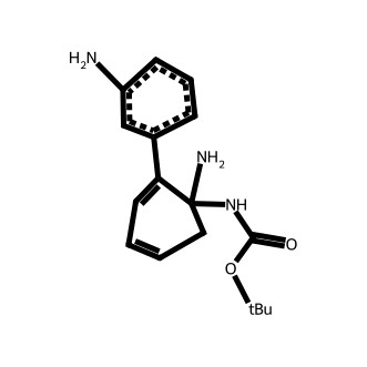 CC(C)(C)OC(=O)NC1(N)CC=CC=C1c1cccc(N)c1